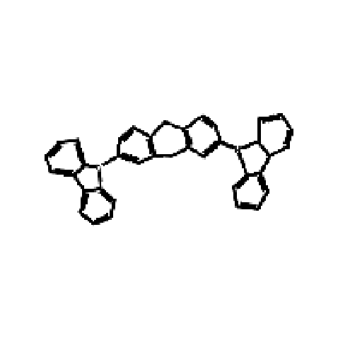 C1=CC2c3ccccc3N(c3ccc4c(c3)Cc3cc(-n5c6ccccc6c6ccccc65)ccc3C4)C2C=C1